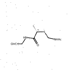 CC(=O)NCS[C@@H](C)C(=O)NC[C]=O